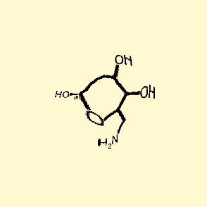 NCC1O[C@@H](O)CC(O)C1O